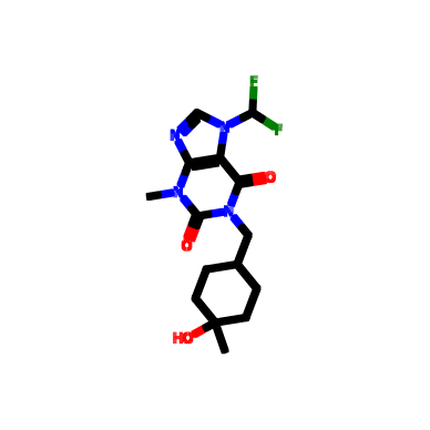 Cn1c(=O)n(CC2CCC(C)(O)CC2)c(=O)c2c1ncn2C(F)F